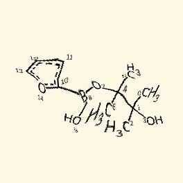 CC(C)(O)C(C)(C)OB(O)c1ccco1